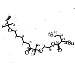 C=CC(C)(C)OCCCCCC(=O)C(C)(C)OCCOC(=O)C(CC(C)(C)C)C(C)(C)C